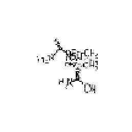 CCCC.CCCC.CCCC.NC(O)=S.NC(O)=S